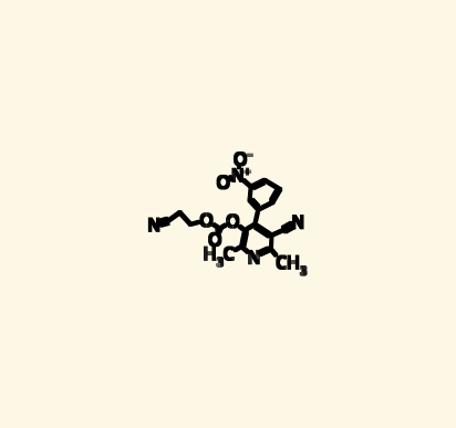 Cc1nc(C)c(OC(=O)OCCC#N)c(-c2cccc([N+](=O)[O-])c2)c1C#N